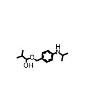 CC(C)Nc1ccc(COC(O)C(C)C)cc1